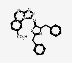 O=C(O)c1ccc2cnc3nncn3c2c1.O=C1SC(Cc2ccccc2)=NC1Cc1ccccc1